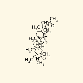 CON(C)C(=O)[C@@]1(C)CC[C@]2(C)CC[C@]3(C)[C@H](CC[C@@H]4[C@@]5(C)CC[C@H](OC(C)=O)C(C)(C)C5CC[C@]43C)[C@H]2C1